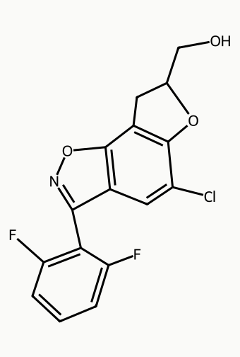 OCC1Cc2c(c(Cl)cc3c(-c4c(F)cccc4F)noc23)O1